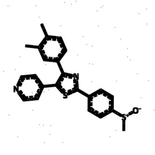 Cc1ccc(-c2nc(-c3ccc([S+](C)[O-])cc3)sc2-c2ccncc2)cc1C